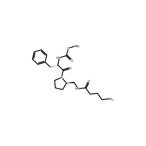 CC(C)(C)OC(=O)N[C@@H](Cc1ccccc1)C(=O)N1CCC[C@@H]1CNC(=O)CCCN